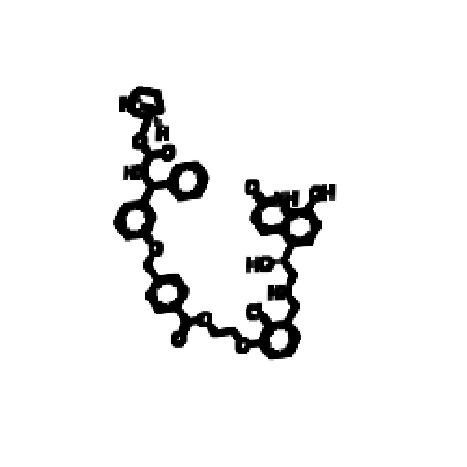 O=C(NC(c1ccccc1)c1cccc(OCc2ccc(C(=O)OCCOc3cccc(CNC[C@H](O)c4ccc(O)c5[nH]c(=O)ccc45)c3Cl)cc2)c1)O[C@H]1CN2CCC1CC2